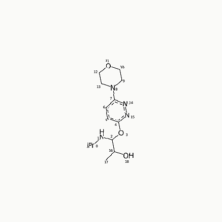 CC(C)NC(Oc1ccc(N2CCOCC2)nn1)C(C)O